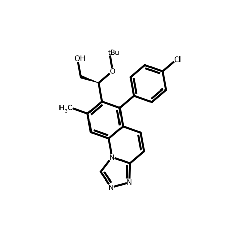 Cc1cc2c(ccc3nncn32)c(-c2ccc(Cl)cc2)c1[C@@H](CO)OC(C)(C)C